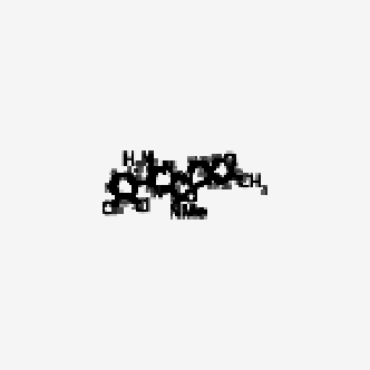 CNC(=O)c1nc(-c2cccc(Cl)c2Cl)c(N)nc1N1CCC2(CC1)CO[C@@H](C)C2